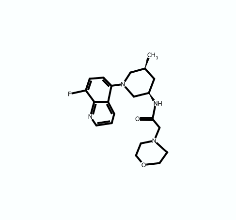 C[C@H]1C[C@@H](NC(=O)CN2CCOCC2)CN(c2ccc(F)c3ncccc23)C1